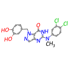 CN(c1ccc(Cl)c(Cl)c1)c1nc2cnn(Cc3ccc(O)c(O)c3)c2c(=O)[nH]1